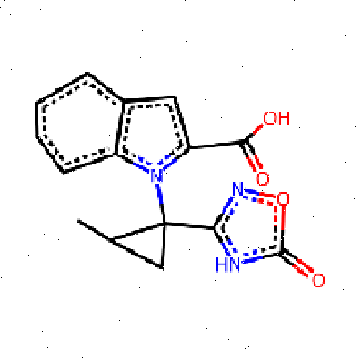 CC1CC1(c1noc(=O)[nH]1)n1c(C(=O)O)cc2ccccc21